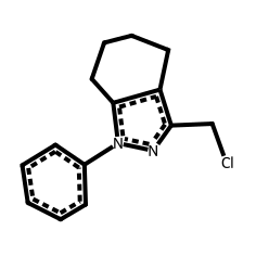 ClCc1nn(-c2ccccc2)c2c1CCCC2